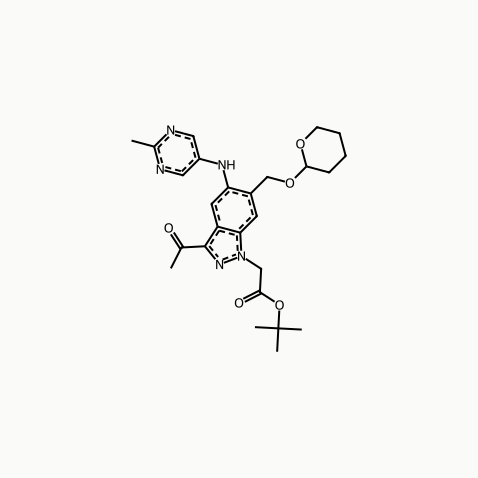 CC(=O)c1nn(CC(=O)OC(C)(C)C)c2cc(COC3CCCCO3)c(Nc3cnc(C)nc3)cc12